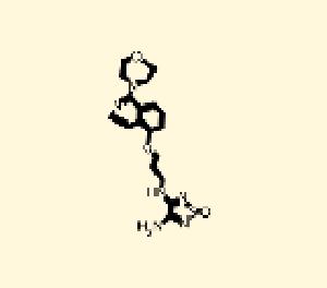 Nc1n[s+]([O-])nc1NCCCOc1cccc2c(N3CCOCC3)nccc12